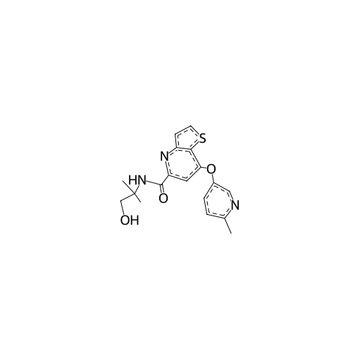 Cc1ccc(Oc2cc(C(=O)NC(C)(C)CO)nc3ccsc23)cn1